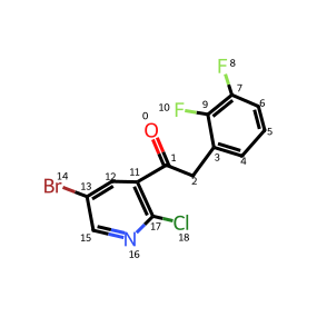 O=C(Cc1cccc(F)c1F)c1cc(Br)cnc1Cl